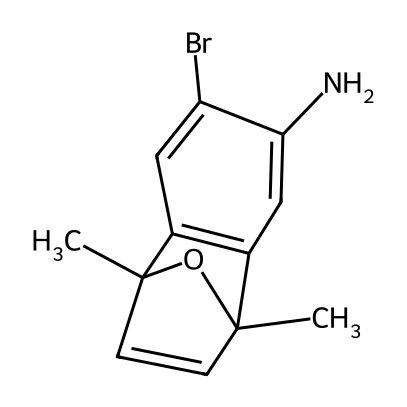 CC12C=CC(C)(O1)c1cc(Br)c(N)cc12